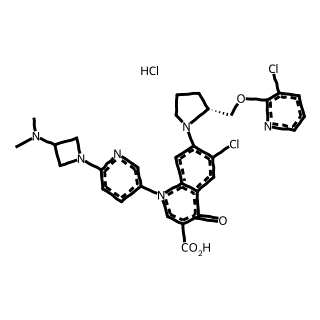 CN(C)C1CN(c2ccc(-n3cc(C(=O)O)c(=O)c4cc(Cl)c(N5CCC[C@@H]5COc5ncccc5Cl)cc43)cn2)C1.Cl